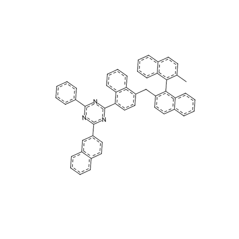 Cc1ccc2ccccc2c1-c1c(Cc2ccc(-c3nc(-c4ccccc4)nc(-c4ccc5ccccc5c4)n3)c3ccccc23)ccc2ccccc12